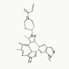 C=CC(=O)N1CCC(n2nc(-c3ccc4c(cnn4C)c3)c(-c3c(C)c(C)cc4[nH]ncc34)c2C)CC1